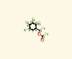 O=C(F)OC(F)c1cc(F)c(F)c(F)c1F